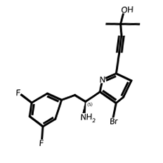 CC(C)(O)C#Cc1ccc(Br)c([C@@H](N)Cc2cc(F)cc(F)c2)n1